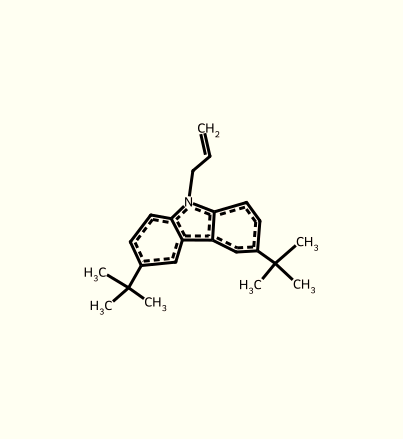 C=CCn1c2ccc(C(C)(C)C)cc2c2cc(C(C)(C)C)ccc21